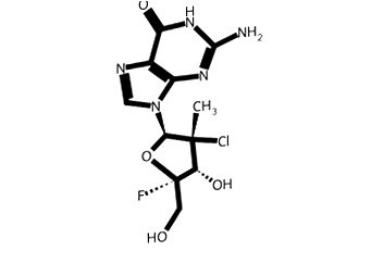 C[C@]1(Cl)[C@H](n2cnc3c(=O)[nH]c(N)nc32)O[C@](F)(CO)[C@H]1O